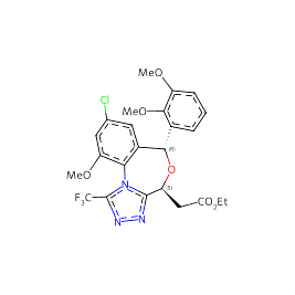 CCOC(=O)C[C@@H]1O[C@@H](c2cccc(OC)c2OC)c2cc(Cl)cc(OC)c2-n2c1nnc2C(F)(F)F